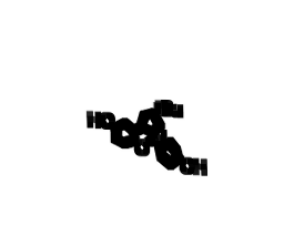 CC(C)(C)[C@@H]1CC2=C3CC(O)=CC=C3O[C@@H](c3ccc(O)cc3)[C@H]2C1